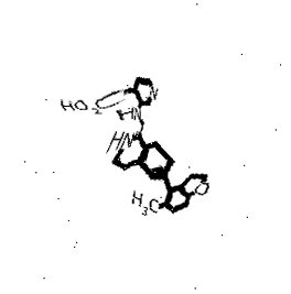 Cc1ccc2c(c1-c1ccc3c(c1)CCN[C@H]3CNc1cnccc1C(=O)O)CCO2